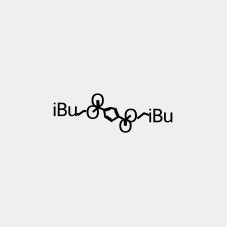 CCC(C)CCOC(=O)c1ccc(C(=O)OCCC(C)CC)cc1